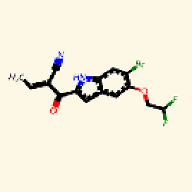 C/C=C(\C#N)C(=O)c1cc2cc(OCC(F)F)c(Br)cc2[nH]1